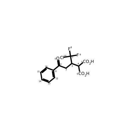 O=C(CC(C(C(=O)O)C(=O)O)C(F)(F)Cl)c1ccccc1